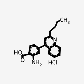 CCCCc1cc(-c2ccc(C(=O)O)c(N)c2)c2ccccc2n1.Cl